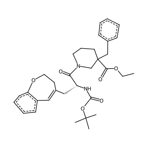 CCOC(=O)C1(Cc2ccccc2)CCCN(C(=O)[C@@H](CC2=Cc3ccccc3OCC2)NC(=O)OC(C)(C)C)C1